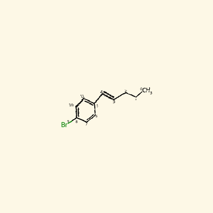 CCC/C=C/c1ccc(Br)cc1